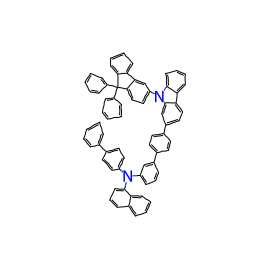 c1ccc(-c2ccc(N(c3cccc(-c4ccc(-c5ccc6c7ccccc7n(-c7ccc8c(c7)-c7ccccc7C8(c7ccccc7)c7ccccc7)c6c5)cc4)c3)c3cccc4ccccc34)cc2)cc1